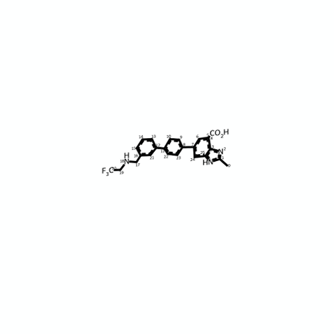 Cc1nc2c(C(=O)O)cc(-c3ccc(-c4cccc(CNCC(F)(F)F)c4)cc3)cc2[nH]1